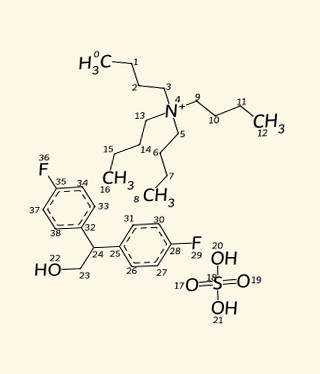 CCCC[N+](CCCC)(CCCC)CCCC.O=S(=O)(O)O.OCC(c1ccc(F)cc1)c1ccc(F)cc1